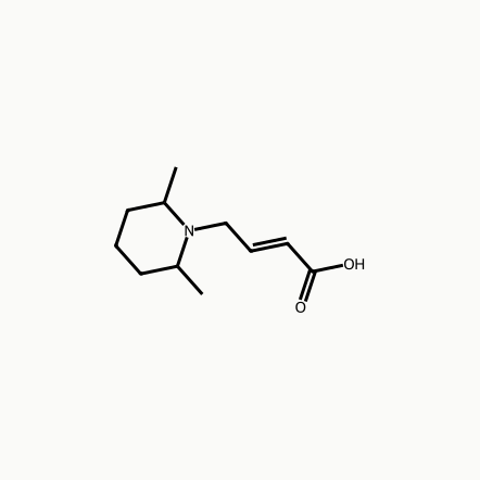 CC1CCCC(C)N1CC=CC(=O)O